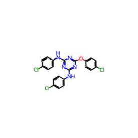 Clc1ccc(Nc2nc(Nc3ccc(Cl)cc3)nc(Oc3ccc(Cl)cc3)n2)cc1